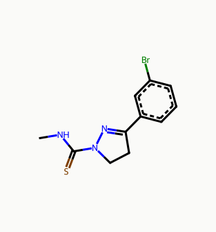 CNC(=S)N1CCC(c2cccc(Br)c2)=N1